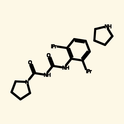 C1CCNC1.CC(C)c1cccc(C(C)C)c1NC(=O)NC(=O)N1CCCC1